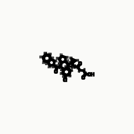 O=C(O)CCC(=O)NC1(C2c3ccc(Cl)cc3N(C(=O)C3Cc4ccccc4C3)C3CCCC32)CC1